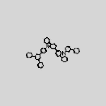 C1=CCCC(C2=CC(C3C=CCCC3)=CC(c3ccc(-n4c5c(c6c4CC(C4=CC7C(C=C4)C4CCC=CC4N7C4C=C(C7=CCCCC7)C=CC4)C=C6)CCC=C5)cc3)C2)=C1